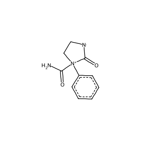 NC(=O)[N+]1(c2ccccc2)CC[N]C1=O